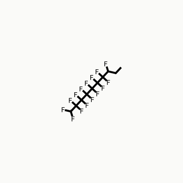 CCC(F)C(F)(F)C(F)(F)C(F)(F)C(F)(F)C(F)(F)C(F)(F)[C](F)F